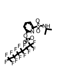 CC(C)NS(=O)(=O)c1cccc(OS(=O)(=O)C(F)(F)C(F)(F)C(F)(F)C(F)(F)C(F)(F)C(F)(F)F)n1